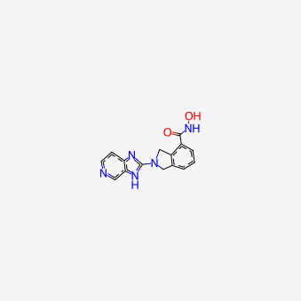 O=C(NO)c1cccc2c1CN(c1nc3ccncc3[nH]1)C2